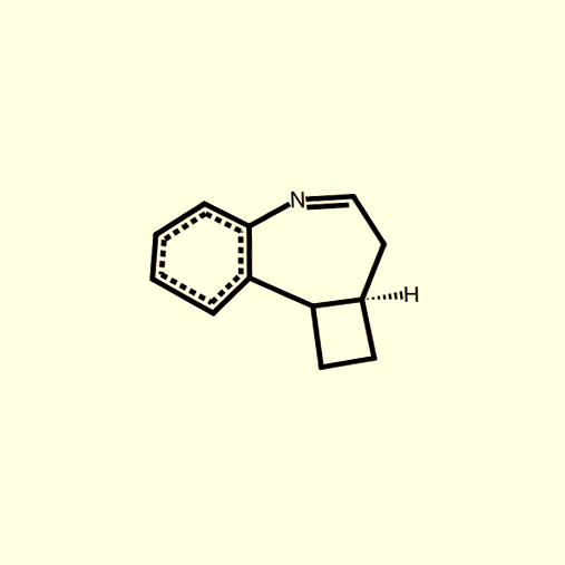 C1=Nc2ccccc2C2CC[C@@H]2C1